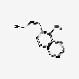 Nc1c(/C=C\CCl)ccc2cccnc12